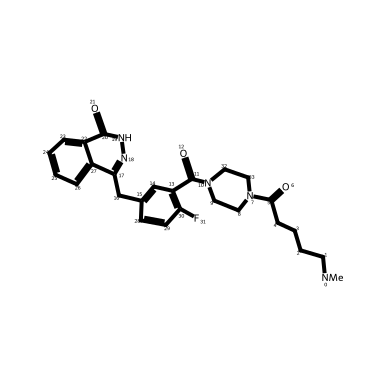 CNCCCCC(=O)N1CCN(C(=O)c2cc(Cc3n[nH]c(=O)c4ccccc34)ccc2F)CC1